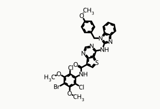 COc1ccc(Cn2c(Nc3ncnc4c(C(=O)Nc5c(Cl)c(OC)c(Br)c(OC)c5Cl)csc34)nc3ccccc32)cc1